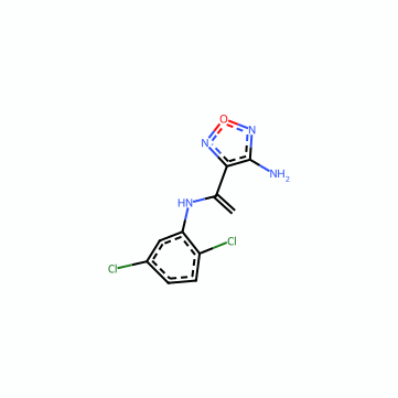 C=C(Nc1cc(Cl)ccc1Cl)c1nonc1N